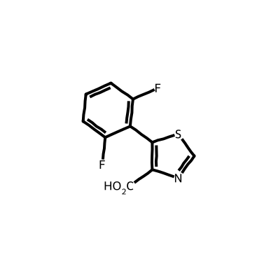 O=C(O)c1ncsc1-c1c(F)cccc1F